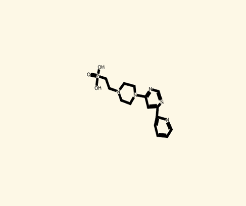 O=P(O)(O)CCN1CCN(c2cc(-c3ccccn3)ncn2)CC1